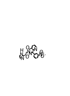 O=C(Cn1nc(-c2cccc([N+](=O)[O-])c2)c2ncccc2c1=O)c1ncc[nH]1